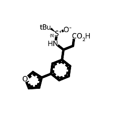 CC(C)(C)[S@@+]([O-])NC(CC(=O)O)c1cccc(-c2ccoc2)c1